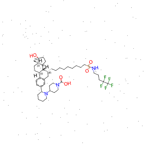 C[C@]12CC[C@@H]3c4ccc(C5CCCCN5C5CCN(C(=O)O)CC5)cc4C[C@@H](CCCCCCCCCS(=O)(=O)NCCCC(F)(F)C(F)(F)F)[C@H]3[C@@H]1CC[C@@H]2O